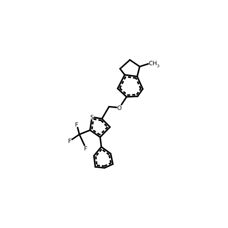 CC1CCc2cc(OCc3cc(-c4ccccc4)c(C(F)(F)F)s3)ccc21